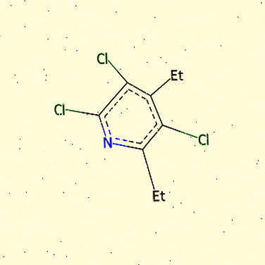 CCc1nc(Cl)c(Cl)c(CC)c1Cl